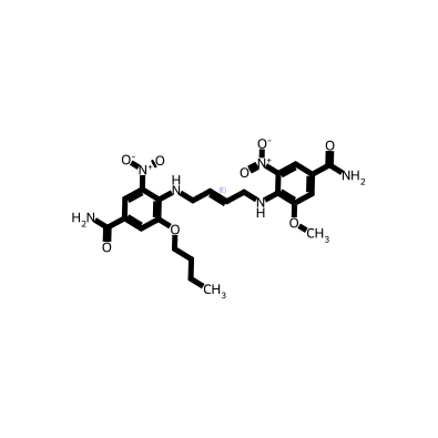 CCCCOc1cc(C(N)=O)cc([N+](=O)[O-])c1NC/C=C/CNc1c(OC)cc(C(N)=O)cc1[N+](=O)[O-]